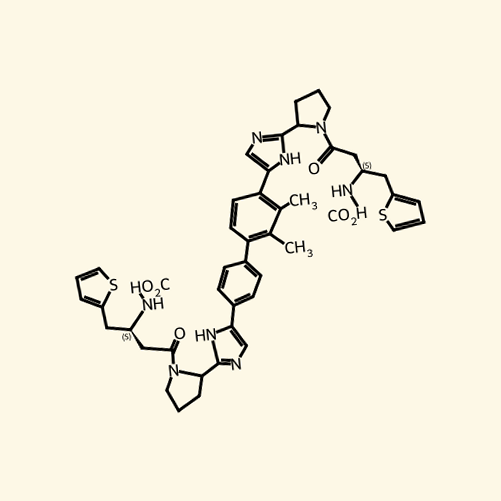 Cc1c(-c2ccc(-c3cnc(C4CCCN4C(=O)C[C@@H](Cc4cccs4)NC(=O)O)[nH]3)cc2)ccc(-c2cnc(C3CCCN3C(=O)C[C@@H](Cc3cccs3)NC(=O)O)[nH]2)c1C